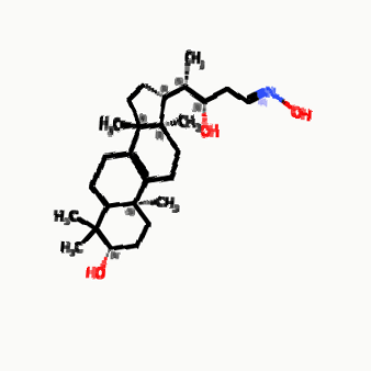 C[C@@H]([C@H]1CC[C@@]2(C)C3=C(CC[C@]12C)[C@@]1(C)CC[C@H](O)C(C)(C)C1CC3)[C@@H](O)C/C=N/O